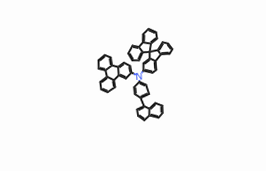 c1ccc2c(c1)-c1ccccc1C21c2ccccc2-c2ccc(N(c3ccc(-c4cccc5ccccc45)cc3)c3ccc4c5ccccc5c5ccccc5c4c3)cc21